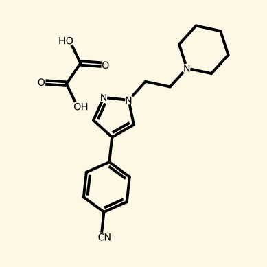 N#Cc1ccc(-c2cnn(CCN3CCCCC3)c2)cc1.O=C(O)C(=O)O